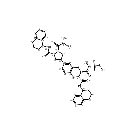 CCSC(C)(C)[C@H](N)C(=O)N1Cc2cc(C3C[C@@H](C(=O)NC4CCCc5ccccc54)N(C(=O)[C@@H](N)C(C)(C)C)C3)ccc2C[C@H]1C(=O)NC1CCCc2ccccc21